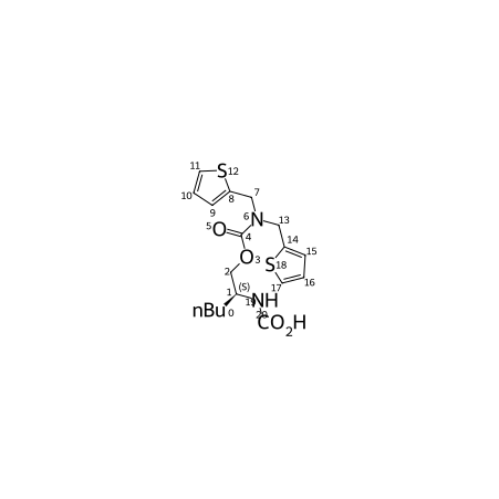 CCCC[C@@H](COC(=O)N(Cc1cccs1)Cc1cccs1)NC(=O)O